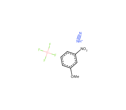 COc1cccc([N+](=O)[O-])c1.F[B-](F)(F)F.N#[NH+]